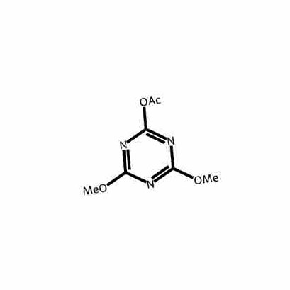 COc1nc(OC)nc(OC(C)=O)n1